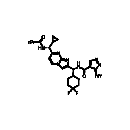 CCCC(=O)N[C@@H](c1ccn2cc([C@@H](NC(=O)c3cnnn3CCC)C3CCC(F)(F)CC3)nc2n1)C1CC1